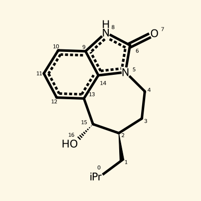 CC(C)C[C@@H]1CCn2c(=O)[nH]c3cccc(c32)[C@H]1O